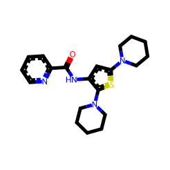 O=C(Nc1cc(N2CCCCC2)sc1N1CCCCC1)c1ccccn1